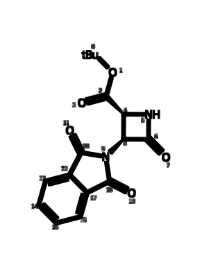 CC(C)(C)OC(=O)[C@H]1NC(=O)[C@H]1N1C(=O)c2ccccc2C1=O